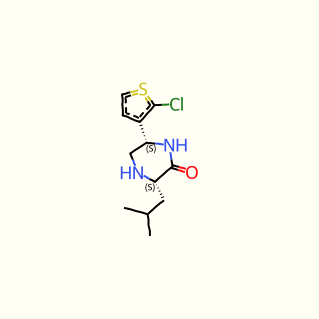 CC(C)C[C@@H]1NC[C@H](c2ccsc2Cl)NC1=O